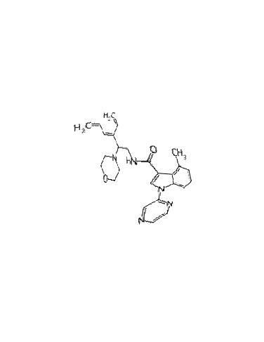 C=C/C=C(\C=C)C(CNC(=O)c1cn(-c2cnccn2)c2cccc(C)c12)N1CCOCC1